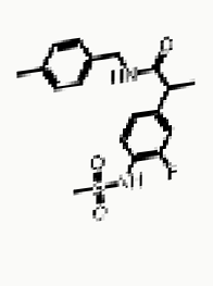 Cc1ccc(CNC(=O)C(C)c2ccc(NS(C)(=O)=O)c(F)c2)cc1